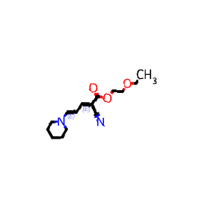 CCOCCOC(=O)/C(C#N)=C/C=C/N1CCCCC1